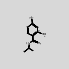 CC(C)NC(=O)c1ccc(Br)cc1O